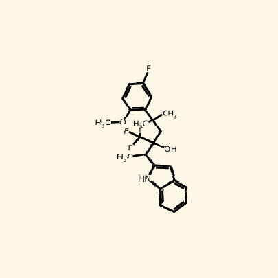 COc1ccc(F)cc1C(C)(C)CC(O)(C(C)c1cc2ccccc2[nH]1)C(F)(F)F